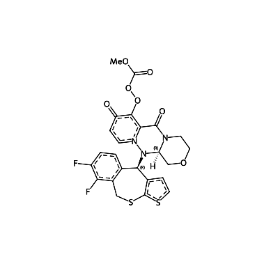 COC(=O)OOc1c2n(ccc1=O)N([C@H]1c3ccsc3SCc3c1ccc(F)c3F)[C@@H]1COCCN1C2=O